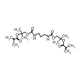 C=C(C)C(=O)OC(C)(C)COC(=O)NCCCNC(=O)OCC(C)(C)OC(=O)C(=C)C